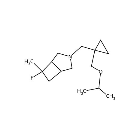 CC(C)OCC1(CN2CC3CC(C)(F)C3C2)CC1